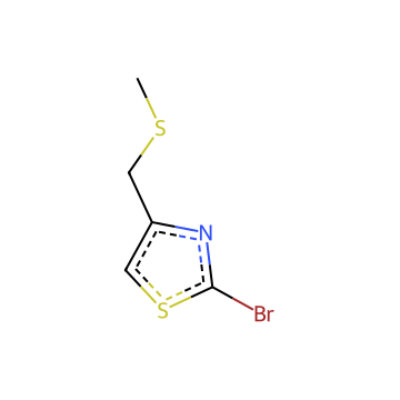 CSCc1csc(Br)n1